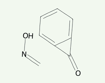 C=NO.O=c1c2ccccc12